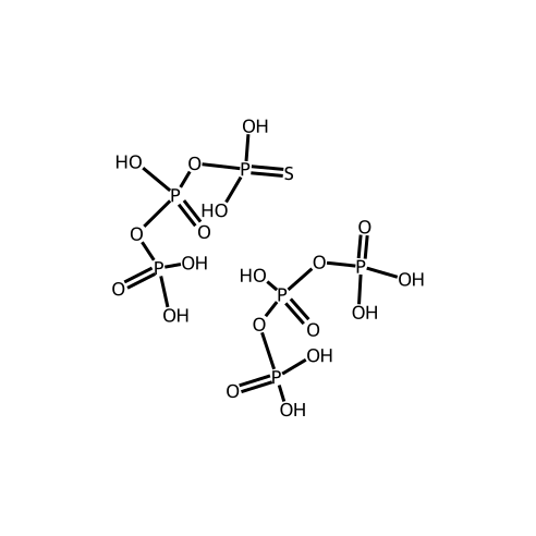 O=P(O)(O)OP(=O)(O)OP(=O)(O)O.O=P(O)(O)OP(=O)(O)OP(O)(O)=S